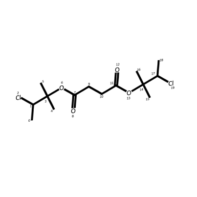 CC(Cl)C(C)(C)OC(=O)CCC(=O)OC(C)(C)C(C)Cl